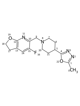 Cc1nnc(C2CCN(Cc3nc4c(cc3F)CCO4)CC2)o1